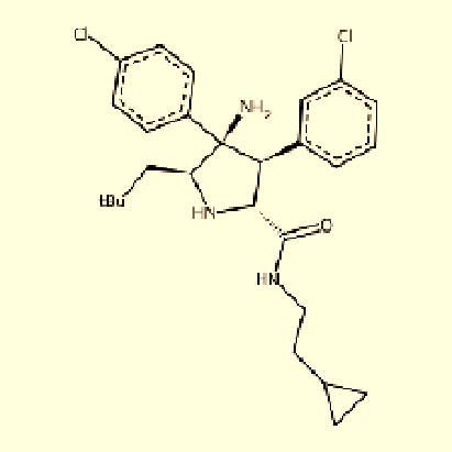 CC(C)(C)C[C@@H]1N[C@@H](C(=O)NCCC2CC2)[C@H](c2cccc(Cl)c2)[C@@]1(N)c1ccc(Cl)cc1